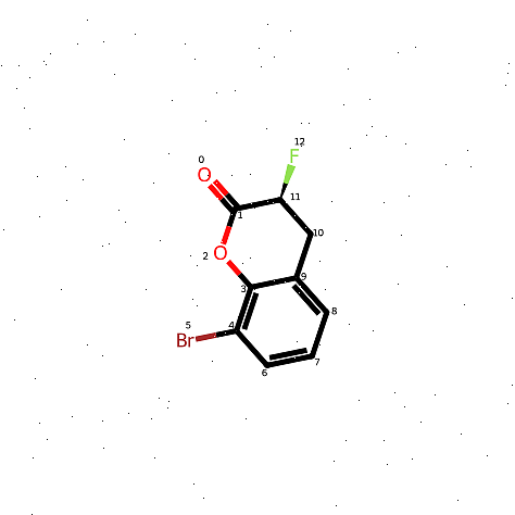 O=C1Oc2c(Br)cccc2C[C@@H]1F